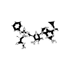 CC(C)OC(=O)[C@H](C)N[P@](=O)(OC[C@H]1O[C@@H](n2cnc3c(N(C)C4CC4)nc(N)nc32)[C@](C)(F)[C@@H]1O)Oc1ccccc1